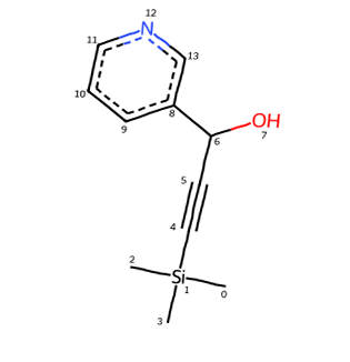 C[Si](C)(C)C#CC(O)c1cccnc1